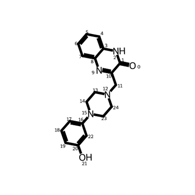 O=c1[nH]c2ccccc2nc1CN1CCN(c2cccc(O)c2)CC1